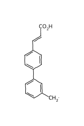 [CH2]c1cccc(-c2ccc(C=CC(=O)O)cc2)c1